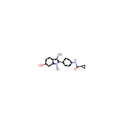 CCn1c(-c2ccc(NC(=O)C3CC3)cc2)c(C#N)c2ccc(O)cc21